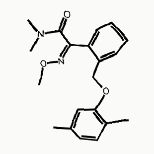 CON=C(C(=O)N(C)C)c1ccccc1COc1cc(C)ccc1C